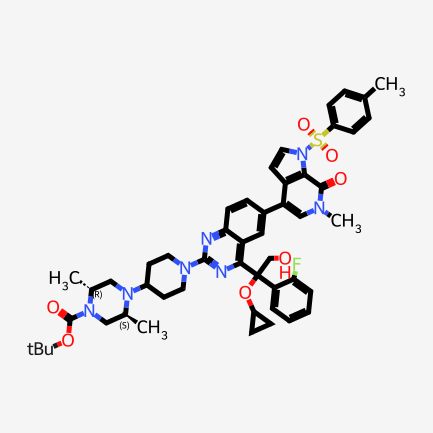 Cc1ccc(S(=O)(=O)n2ccc3c(-c4ccc5nc(N6CCC(N7C[C@@H](C)N(C(=O)OC(C)(C)C)C[C@@H]7C)CC6)nc(C(CO)(OC6CC6)c6ccccc6F)c5c4)cn(C)c(=O)c32)cc1